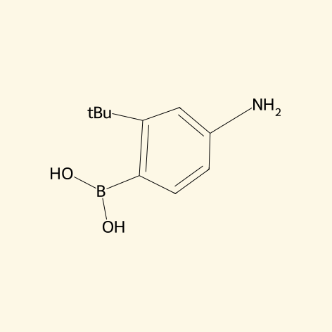 CC(C)(C)c1cc(N)ccc1B(O)O